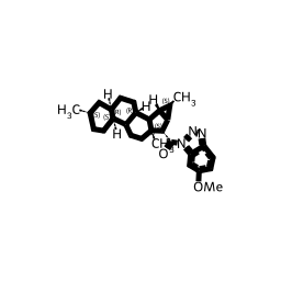 COc1ccc2nnn(C(=O)[C@H]3C4[C@H](C5[C@@H]6CC[C@@H]7C[C@@H](C)CC[C@@H]7C6CC[C@@]53C)[C@@H]4C)c2c1